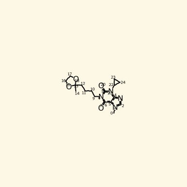 Cn1cnc2c1c(=O)n(CCCCC1(C)OCCO1)c(=O)n2C1CC1